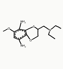 CCN(CC)CC1COc2c(N)cc(OC)c(N)c2S1